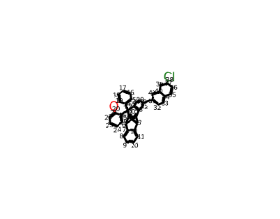 CC1(C)C2C3=C(C1c1ccccc12)C1(c2ccccc2Oc2ccccc21)c1ccc(-c2ccc4ccc(Cl)cc4c2)cc13